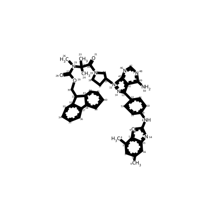 Cc1cc(C)c2oc(Nc3ccc(-c4nn(C5CCN(C(=O)C(C)(C)N(C)C(=O)OCC6c7ccccc7-c7ccccc76)C5)c5ncnc(N)c45)cc3)nc2c1